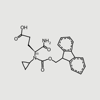 NC(=O)[C@H](CCC(=O)O)N(C(=O)OCC1c2ccccc2-c2ccccc21)C1CC1